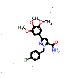 COc1cc(-c2cc(C(N)=O)n(Cc3ccc(Cl)cc3)n2)cc(OC)c1OC